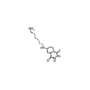 NCCCCCCNc1ccc2c(=O)[nH][nH]c(=O)c2c1